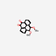 CC(C)(C)OC1=C2C=CCC3=C2c2c(cccc2C1OC(C)(C)C)C(=O)C3=O